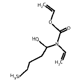 C=COC(=O)N(C=C)C(O)CCC[SiH3]